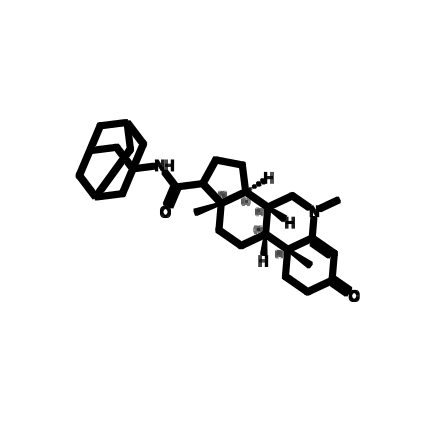 CN1C[C@@H]2[C@@H](CC[C@]3(C)C(C(=O)NC45CC6CC(CC(C6)C4)C5)CC[C@@H]23)[C@@]2(C)CCC(=O)C=C12